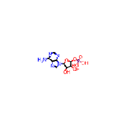 NC1=NC=NC2C1N=CN2C1OC(OP(=O)(O)O)C(O)C1O